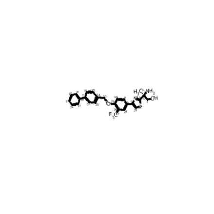 C[C@](N)(CO)c1nc(-c2ccc(OCc3ccc(-c4ccccc4)cc3)c(C(F)(F)F)c2)cs1